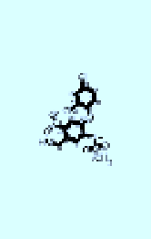 CS(=O)(=O)Nc1cc(CO)c([N+](=O)[O-])cc1Oc1ccc(Cl)cc1Cl